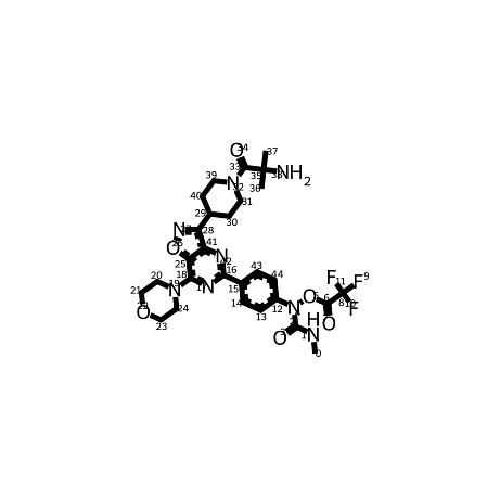 CNC(=O)N(OC(=O)C(F)(F)F)c1ccc(-c2nc(N3CCOCC3)c3onc(C4CCN(C(=O)C(C)(C)N)CC4)c3n2)cc1